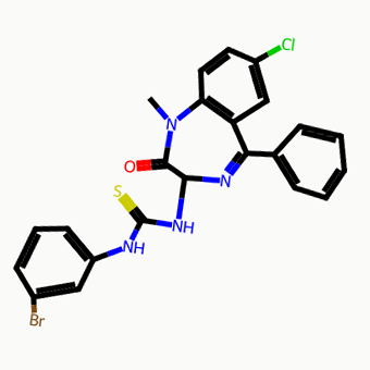 CN1C(=O)C(NC(=S)Nc2cccc(Br)c2)N=C(c2ccccc2)c2cc(Cl)ccc21